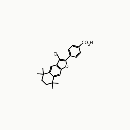 CC1(C)CCC(C)(C)c2cc3c(Cl)c(-c4ccc(C(=O)O)cc4)oc3cc21